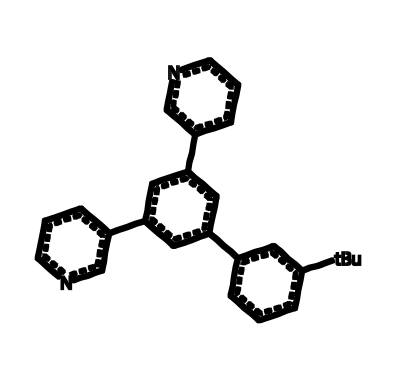 CC(C)(C)c1cccc(-c2cc(-c3cccnc3)cc(-c3cccnc3)c2)c1